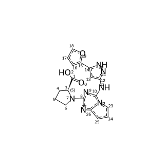 O=C(O)[C@@H]1CCCN1c1nc(Nc2cc(-c3ccco3)[nH]n2)n2cccc2n1